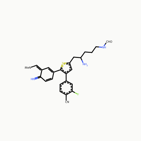 CN/C=C1/C=C(c2sc(CC(N)CCCNC=O)cc2-c2ccc(C#N)c(F)c2)C=CC1=N